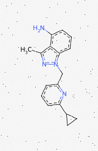 Cc1nn(Cc2cccc(C3CC3)n2)c2cccc(N)c12